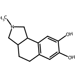 CN1CC2CCc3cc(O)c(O)cc3C2C1